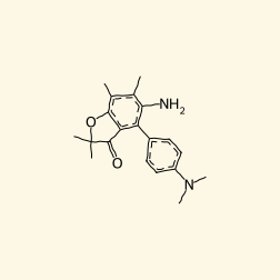 Cc1c(C)c2c(c(-c3ccc(N(C)C)cc3)c1N)C(=O)C(C)(C)O2